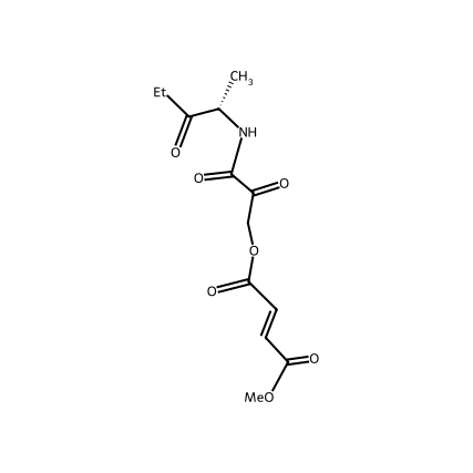 CCC(=O)[C@H](C)NC(=O)C(=O)COC(=O)/C=C/C(=O)OC